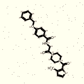 Cc1ccsc1C(=O)N1CCN(C(=O)CNC(=O)c2ccc(OCc3ccccc3)cc2)CC1